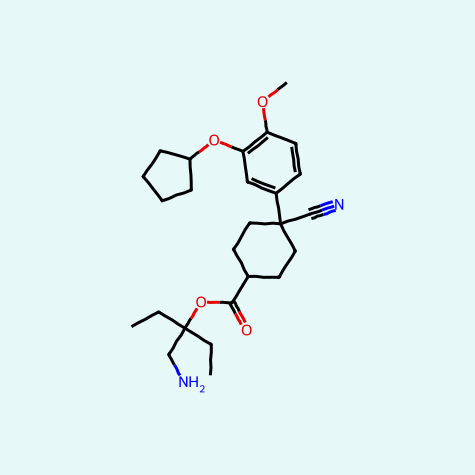 CCC(CC)(CN)OC(=O)C1CCC(C#N)(c2ccc(OC)c(OC3CCCC3)c2)CC1